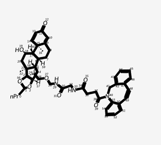 CCCC1O[C@@H]2C[C@H]3[C@@H]4CCC5=CC(=O)C=C[C@]5(C)[C@H]4[C@@H](O)C[C@]3(C)[C@]2(C(=O)COCNC(=O)CNC(=O)CCC(=O)N2Cc3ccccc3C#Cc3ccccc32)O1